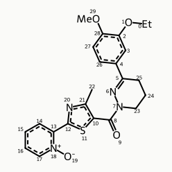 CCOc1cc(C2=NN(C(=O)c3sc(-c4cccc[n+]4[O-])nc3C)CCC2)ccc1OC